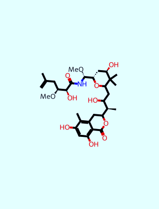 C=C(C)C[C@H](OC)[C@H](O)C(=O)N[C@H](OC)[C@@H]1C[C@@H](O)C(C)(C)C(CC(O)[C@@H](C)C2Cc3c(C)c(O)cc(O)c3C(=O)O2)O1